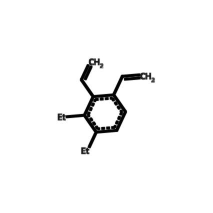 C=Cc1ccc(CC)c(CC)c1C=C